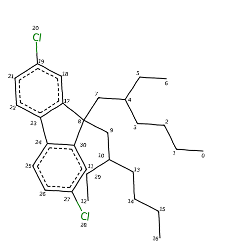 CCCCC(CC)CC1(CC(CC)CCCC)c2cc(Cl)ccc2-c2ccc(Cl)cc21